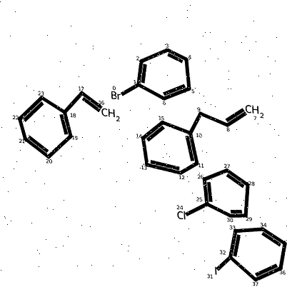 Brc1cc[c]cc1.C=CCc1cc[c]cc1.C=Cc1cc[c]cc1.Clc1cc[c]cc1.Ic1cc[c]cc1